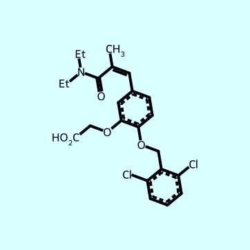 CCN(CC)C(=O)/C(C)=C\c1ccc(OCc2c(Cl)cccc2Cl)c(OCC(=O)O)c1